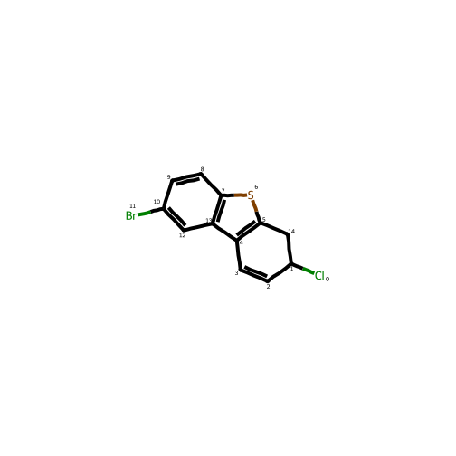 ClC1C=Cc2c(sc3ccc(Br)cc23)C1